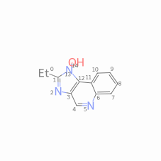 CCc1nc2cnc3ccccc3c2n1O